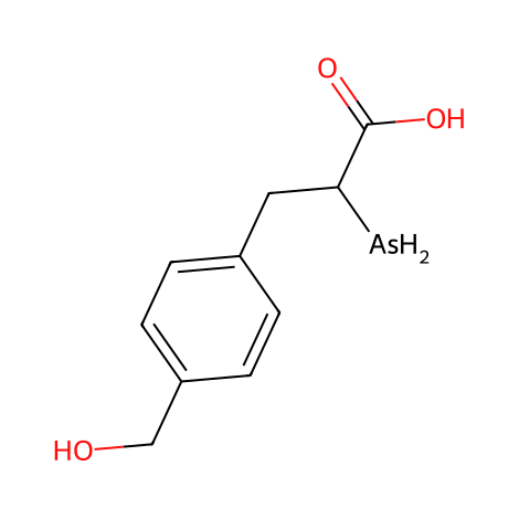 O=C(O)C([AsH2])Cc1ccc(CO)cc1